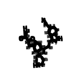 N#Cc1ccc2[nH]cc(CCCC[N+]3(c4ccc5oc(C(N)=O)cc5c4)CCNCC3)c2c1